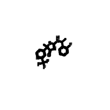 C[C@H](NC1=NC(=O)C(C)(c2ccnc(C(F)(F)F)c2)S1)c1ccccc1F